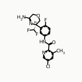 Cc1cc(Cl)cnc1C(=O)Nc1ccc(F)c([C@]2(C(F)F)COCC(N)=N2)c1